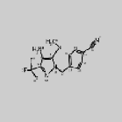 CCc1c(N)c(C(F)(F)F)nn1Cc1ccc(C#N)cc1